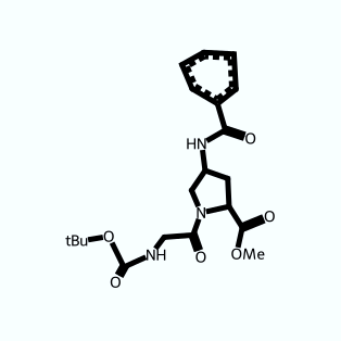 COC(=O)C1CC(NC(=O)c2ccccc2)CN1C(=O)CNC(=O)OC(C)(C)C